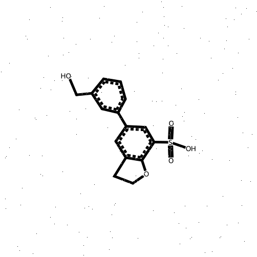 O=S(=O)(O)c1cc(-c2cccc(CO)c2)cc2c1OCC2